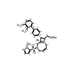 CCCn1nccc1S(=O)(=O)N1C/C=C\CN2C(COC)[C@@H](c3ccc(-c4cccc(C)c4C)cc3)[C@@H]2C1